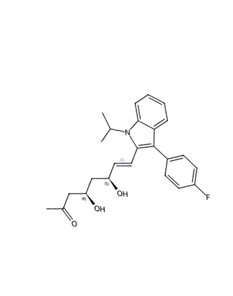 CC(=O)C[C@H](O)C[C@H](O)/C=C/c1c(-c2ccc(F)cc2)c2ccccc2n1C(C)C